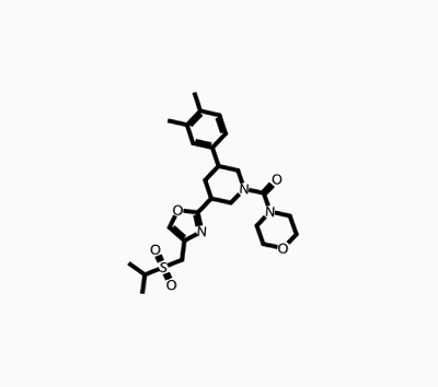 Cc1ccc(C2CC(c3nc(CS(=O)(=O)C(C)C)co3)CN(C(=O)N3CCOCC3)C2)cc1C